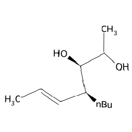 C/C=C/[C@H](CCCC)[C@@H](O)C(C)O